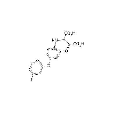 O=C(O)C(=O)C(Nc1ccc(Oc2cccc(F)c2)cc1)C(=O)O